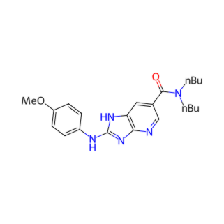 CCCCN(CCCC)C(=O)c1cnc2nc(Nc3ccc(OC)cc3)[nH]c2c1